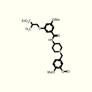 CCOC(=O)C(C)COc1cc(OC)cc(C(=O)NC2CCN(Cc3ccc(OC)c(OCC)c3)CC2)c1